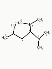 CC(O)CC(N(C)C)N(C)C